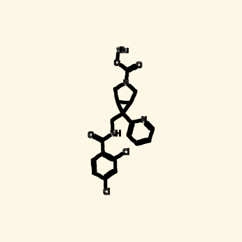 CC(C)(C)OC(=O)N1CC2C(C1)C2(CNC(=O)c1ccc(Cl)cc1Cl)c1ccccn1